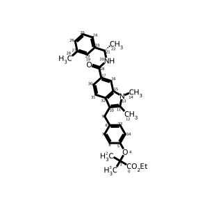 CCOC(=O)C(C)(C)Oc1ccc(Cc2c(C)n(C)c3cc(C(=O)N[C@@H](C)c4cccc(C)c4)ccc23)cc1